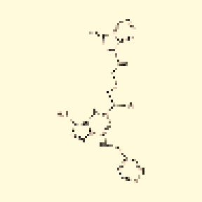 Bc1cnn2c(NCc3cccnc3)cc(C(CCC)CCCC(=O)C3CC(=O)c4ccccc43)nc12